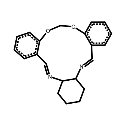 C1=N/C2CCCCC2/N=C/c2ccccc2OCOc2ccccc2/1